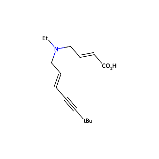 CCN(CC=CC#CC(C)(C)C)CC=CC(=O)O